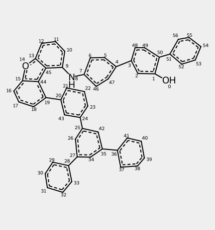 Oc1cc(-c2ccc(Nc3cccc4oc5cccc(-c6cccc(-c7cc(-c8ccccc8)cc(-c8ccccc8)c7)c6)c5c34)cc2)ccc1-c1ccccc1